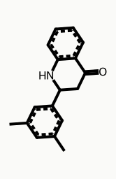 Cc1cc(C)cc(C2CC(=O)c3ccccc3N2)c1